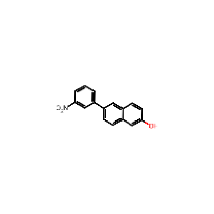 O=[N+]([O-])c1cccc(-c2ccc3cc(O)ccc3c2)c1